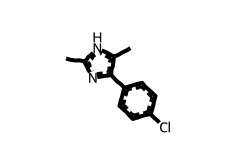 Cc1nc(-c2ccc(Cl)cc2)c(C)[nH]1